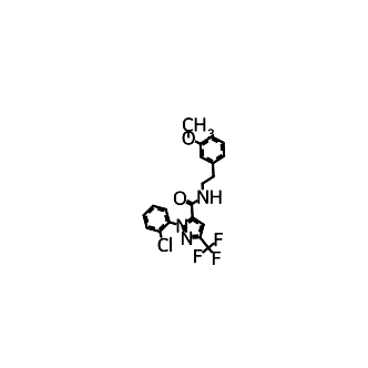 COc1cccc(CCNC(=O)c2cc(C(F)(F)F)nn2-c2ccccc2Cl)c1